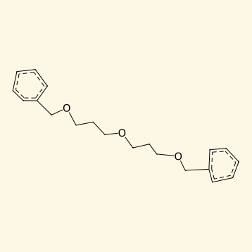 c1ccc(COCCCOCCCOCc2ccccc2)cc1